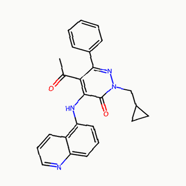 CC(=O)c1c(-c2ccccc2)nn(CC2CC2)c(=O)c1Nc1cccc2ncccc12